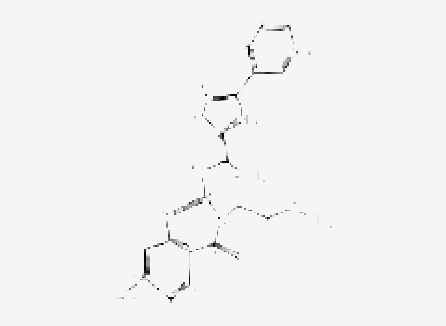 COCCn1c(SC(C)C2=NC(c3cccnc3)=NC2)nc2cc(Cl)ccc2c1=O